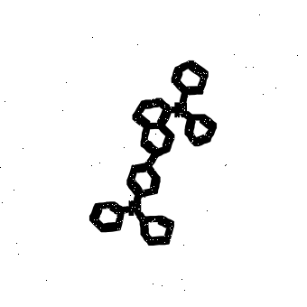 c1ccc(N(c2ccccc2)c2ccc(-c3ccc4c(N(c5ccccc5)c5ccccc5)cccc4c3)cc2)cc1